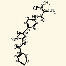 C=C(Cl)C(=C)C(=O)Nc1ccc(-c2cc(NC(=O)c3ccccc3)n(CC)n2)cc1